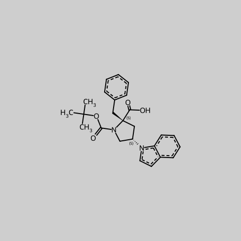 CC(C)(C)OC(=O)N1C[C@@H](n2ccc3ccccc32)C[C@@]1(Cc1ccccc1)C(=O)O